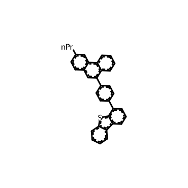 CCCc1ccc2cc(-c3ccc(-c4cccc5c4sc4ccccc45)cc3)c3ccccc3c2c1